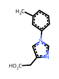 Cc1cccc(-n2cnc(CC(=O)O)c2)c1